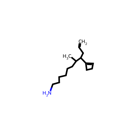 C=CCC(C1=CCC1)C(C)CCCCCCN